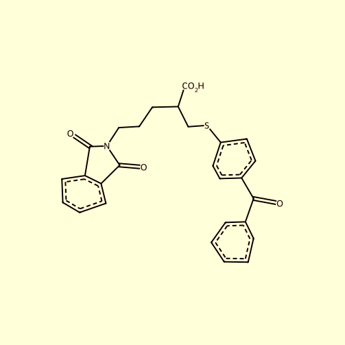 O=C(c1ccccc1)c1ccc(SCC(CCCN2C(=O)c3ccccc3C2=O)C(=O)O)cc1